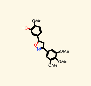 COc1ccc(C2CC(c3cc(OC)c(OC)c(OC)c3)=NO2)cc1O